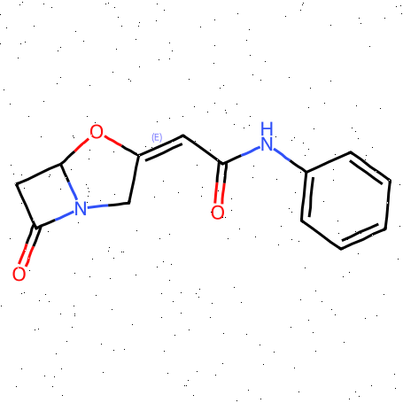 O=C(/C=C1\CN2C(=O)CC2O1)Nc1ccccc1